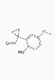 COc1ccc(O)c(C2(C=O)CC2)c1